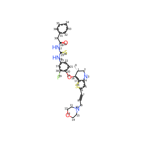 C[C@@H]1CN=c2cc(C#CCN3CCOCC3)sc2=C1Oc1ccc(NC(=S)NC(=O)Cc2ccccc2)cc1F